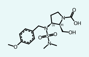 COc1ccc(CN([C@H]2CCN(C(=O)O)[C@H]2CO)S(=O)(=O)N(C)C)cc1